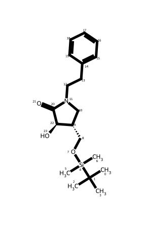 CC(C)(C)[Si](C)(C)OC[C@H]1CN(CCc2ccccc2)C(=O)[C@@H]1O